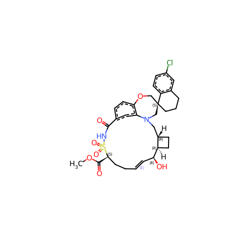 COC(=O)[C@@H]1CC/C=C/[C@H](O)[C@@H]2CC[C@H]2CN2C[C@@]3(CCCc4cc(Cl)ccc43)COc3ccc(cc32)C(=O)NS1(=O)=O